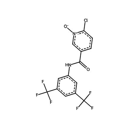 O=C(Nc1cc(C(F)(F)F)cc(C(F)(F)F)c1)c1ccc(Cl)[n+]([O-])c1